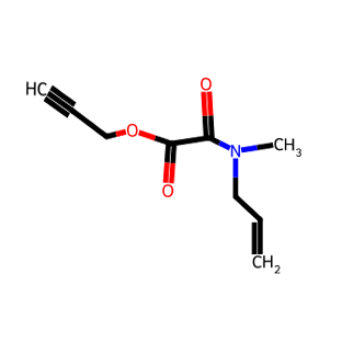 C#CCOC(=O)C(=O)N(C)CC=C